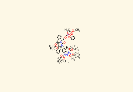 CCOC(=O)[C@H](C)OP(=O)(COCCCN1C(=O)N(Cc2ccc3c(c2)c(N(C(=O)OC(C)(C)C)C(=O)OC(C)(C)C)nn3C(=O)OC(C)(C)C)[C@H](Cc2ccccc2)[C@@H]2OC(C)(C)O[C@H]2[C@H]1Cc1ccccc1)Oc1ccccc1